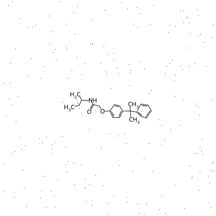 CCC(C)NC(=O)COc1ccc(C(C)(C)c2ccccc2)cc1